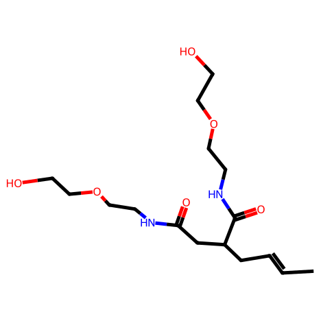 C/C=C/CC(CC(=O)NCCOCCO)C(=O)NCCOCCO